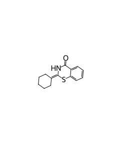 O=C1NC(=C2CCCCC2)Sc2ccccc21